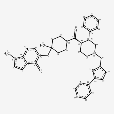 Cn1ccc2c(=O)n(CC3(O)CCN(C(=O)[C@@H]4CCN(Cc5ncc(-c6ccncc6)s5)C[C@H]4c4ccccc4)CC3)cnc21